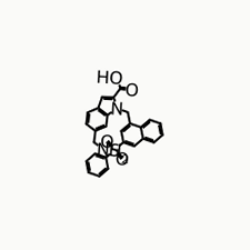 NCc1ccc2cc(C(=O)O)n(Cc3cc(S(=O)(=O)c4ccccc4)cc4ccccc34)c2c1